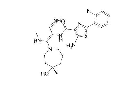 CN/C(=C(\C=N)NC(=O)c1nc(-c2ccccc2F)sc1N)N1CCC[C@](C)(O)CC1